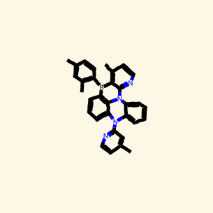 Cc1ccnc(N2c3ccccc3N3c4nccc(C)c4B(c4ccc(C)cc4C)c4cccc2c43)c1